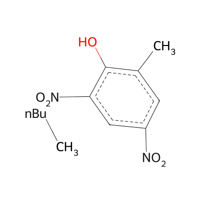 CCCCC.Cc1cc([N+](=O)[O-])cc([N+](=O)[O-])c1O